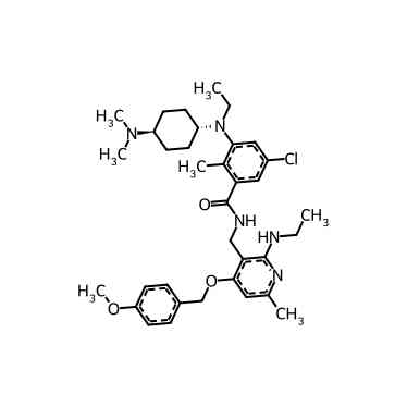 CCNc1nc(C)cc(OCc2ccc(OC)cc2)c1CNC(=O)c1cc(Cl)cc(N(CC)[C@H]2CC[C@H](N(C)C)CC2)c1C